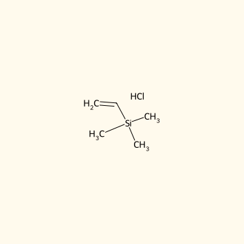 C=C[Si](C)(C)C.Cl